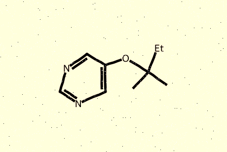 CCC(C)(C)Oc1cncnc1